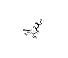 CC(C)O.CC(C)O.COC(=O)CC(C)=O